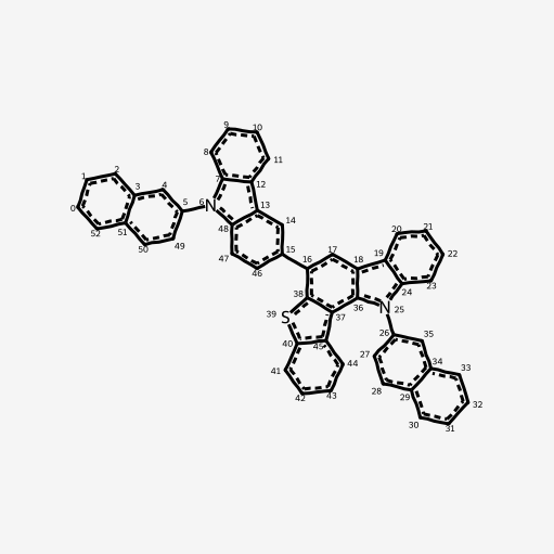 c1ccc2cc(-n3c4ccccc4c4cc(-c5cc6c7ccccc7n(-c7ccc8ccccc8c7)c6c6c5sc5ccccc56)ccc43)ccc2c1